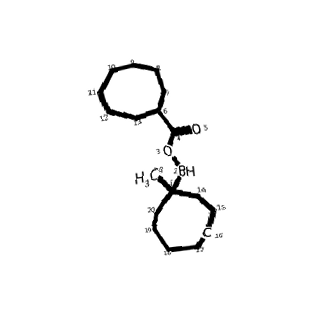 CC1(BOC(=O)C2CCCCCCC2)CCCCCCC1